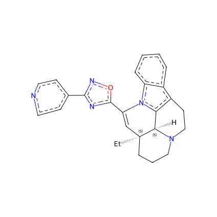 CC[C@@]12C=C(c3nc(-c4ccncc4)no3)n3c4c(c5ccccc53)CCN(CCC1)[C@H]42